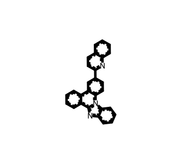 c1ccc2nc(-c3ccc4c(c3)c3ccccc3c3nc5ccccc5n43)ccc2c1